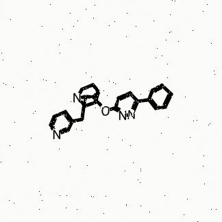 c1ccc(-c2ccc(OC3C4CCN(CC4)C3Cc3cccnc3)nn2)cc1